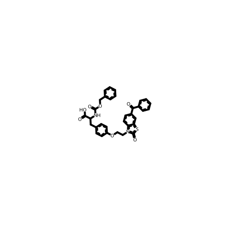 O=C(NC(Cc1ccc(OCCn2c(=O)sc3cc(C(=O)c4ccccc4)ccc32)cc1)C(=O)O)OCc1ccccc1